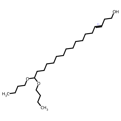 CCCCOC(CCCCCCCCCCCC/C=C/CCO)OCCCC